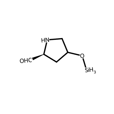 O=C[C@@H]1CC(O[SiH3])CN1